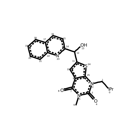 CC(C)Cn1c(=O)n(C)c(=O)c2cc(C(O)c3ccc4ccccc4n3)sc21